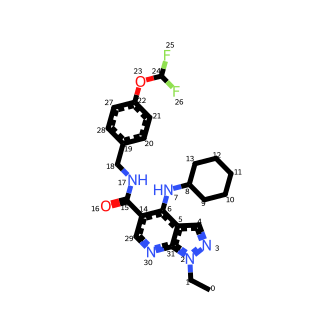 CCn1ncc2c(NC3CCCCC3)c(C(=O)NCc3ccc(OC(F)F)cc3)cnc21